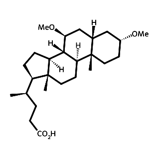 CO[C@@H]1CC[C@@]2(C)[C@@H](C1)C[C@H](OC)[C@@H]1[C@@H]2CC[C@]2(C)[C@@H]([C@H](C)CCC(=O)O)CC[C@@H]12